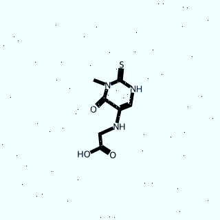 Cn1c(=S)[nH]cc(NCC(=O)O)c1=O